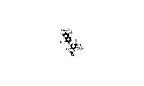 CO[C@@H]1[C@@H](OC(N)=O)[C@@H](O)[C@H](Oc2ccc3c(O)c(N(C)Cl)c(=O)oc3c2C)OC1(C)C